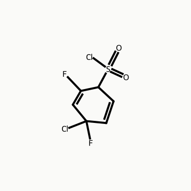 O=S(=O)(Cl)C1C=CC(F)(Cl)C=C1F